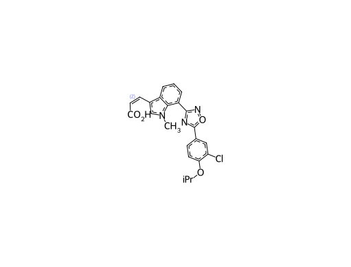 CC(C)Oc1ccc(-c2nc(-c3cccc4c(/C=C\C(=O)O)cn(C)c34)no2)cc1Cl